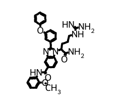 COc1ccccc1NC(=O)c1ccc2c(c1)nc(-c1cccc(Oc3ccccc3)c1)n2C(CCCNC(=N)N)C(N)=O